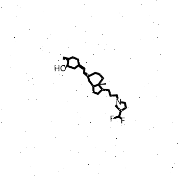 C=C1CC/C(=C/C=C2\CCC[C@]3(C)C(CCCN4CCC(C(F)F)C4)CCC3C2)CC1O